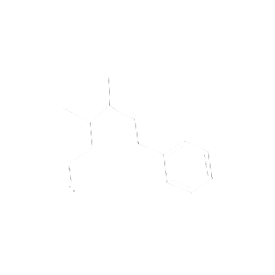 CC(CCN)C(C)CCc1ccccc1